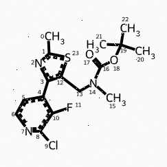 Cc1nc(-c2ccnc(Cl)c2F)c(CN(C)C(=O)OC(C)(C)C)s1